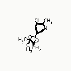 C=C1OB(c2cnc(C)c(Cl)c2)OC1(C)C